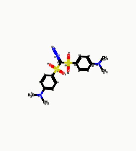 CN(C)c1ccc(S(=O)(=O)C(=[N+]=[N-])S(=O)(=O)c2ccc(N(C)C)cc2)cc1